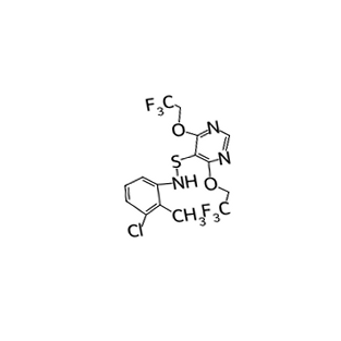 Cc1c(Cl)cccc1NSc1c(OCC(F)(F)F)ncnc1OCC(F)(F)F